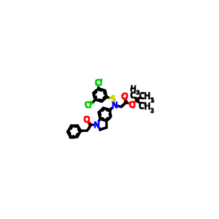 CC(C)(C)OC(=O)CN(Sc1cc(Cl)cc(Cl)c1)c1ccc2c(c1)CCN2C(=O)Cc1ccccc1